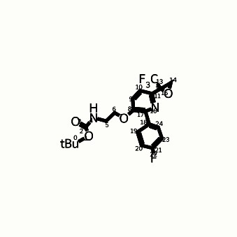 CC(C)(C)OC(=O)NCCOc1ccc(C2(C(F)(F)F)CO2)nc1-c1ccc(F)cc1